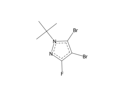 CC(C)(C)n1nc(F)c(Br)c1Br